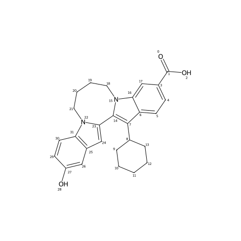 O=C(O)c1ccc2c(C3CCCCC3)c3n(c2c1)CCCCn1c-3cc2cc(O)ccc21